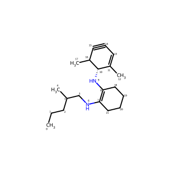 CCCC(C)CNC1=C(N[C@H]2C(C)=CC#CC2C)CCCC1